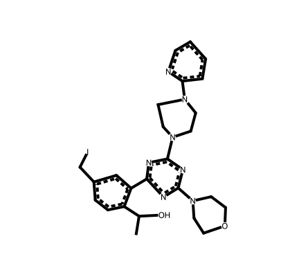 CC(O)c1ccc(CI)cc1-c1nc(N2CCOCC2)nc(N2CCN(c3ccccn3)CC2)n1